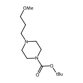 COCCCN1CCN(C(=O)OC(C)(C)C)CC1